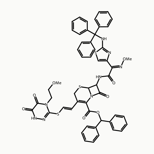 COCCn1c(S/C=C/C2=C(C(=O)OC(c3ccccc3)c3ccccc3)N3C(=O)C(NC(=O)/C(=N/OC)c4csc(NC(c5ccccc5)(c5ccccc5)c5ccccc5)n4)C3SC2)n[nH]c(=O)c1=O